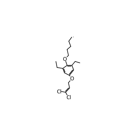 [CH2]CCCCOc1c(CC)cc(OCC=C(Cl)Cl)cc1CC